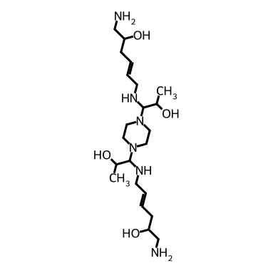 CC(O)C(NC/C=C/CC(O)CN)N1CCN(C(NC/C=C/CC(O)CN)C(C)O)CC1